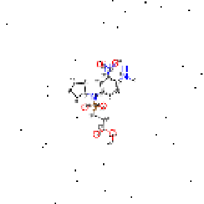 CNc1ccc(N(C2CCCC2)S(=O)(=O)CCC(=O)OC)cc1[N+](=O)[O-]